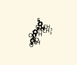 CC(C)C(NC(=O)c1ccc2c(c1)CN(C1CCC(=O)NC1=O)C2=O)c1ccc(F)cc1